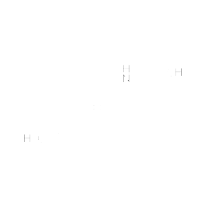 CCCCCN[C@H]1CC[C@H](OC[C@H]2CC[C@H](CCC)CC2)CC1